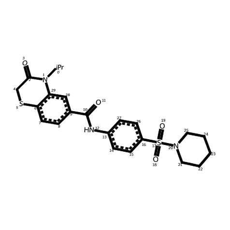 CC(C)N1C(=O)CSc2ccc(C(=O)Nc3ccc(S(=O)(=O)N4CCCCC4)cc3)cc21